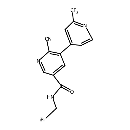 CC(C)CNC(=O)c1cnc(C#N)c(-c2ccnc(C(F)(F)F)c2)c1